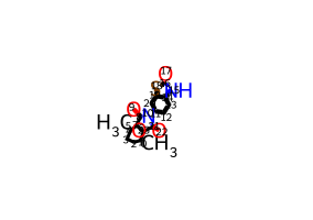 CC12CCC(C)(O1)C1C(=O)N(c3ccc4[nH]c(=O)sc4c3)C(=O)C12